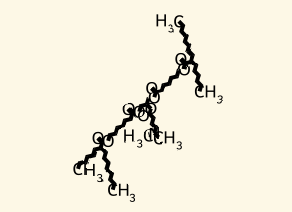 CCCCCCCCC(CCCCCC)C(=O)OCCCCCCC(=O)OCC(COC(=O)CCCCCCOC(=O)C(CCCCCC)CCCCCCCC)OC(=O)CCCN(C)C